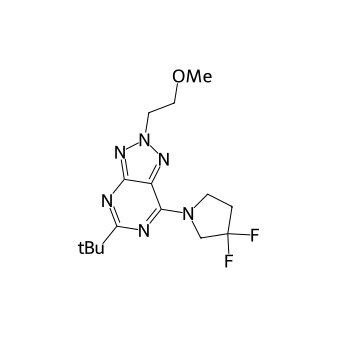 COCCn1nc2nc(C(C)(C)C)nc(N3CCC(F)(F)C3)c2n1